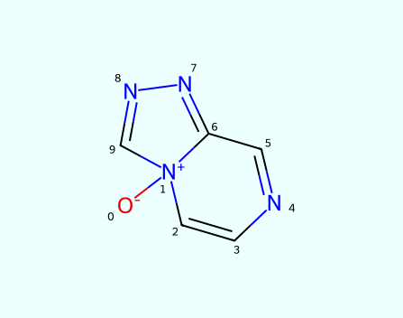 [O-][N+]12C=CN=CC1=NN=C2